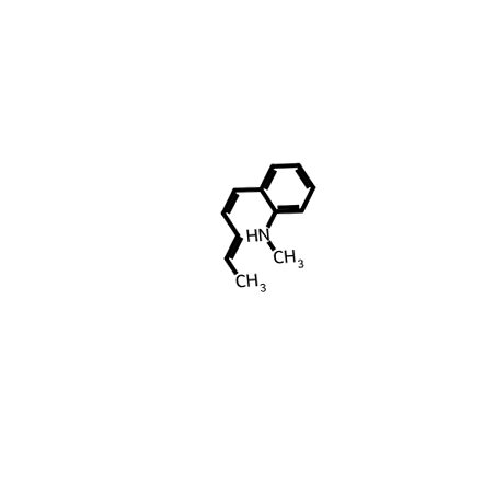 C/C=C/C=C\c1ccccc1NC